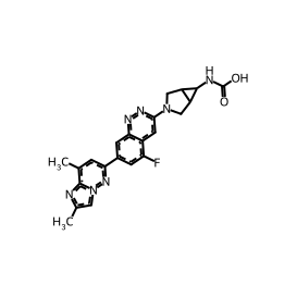 Cc1cn2nc(-c3cc(F)c4cc(N5CC6C(C5)C6NC(=O)O)nnc4c3)cc(C)c2n1